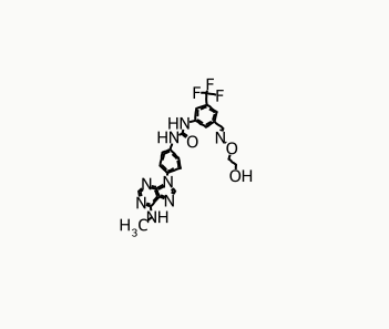 CNc1ncnc2c1ncn2-c1ccc(NC(=O)Nc2cc(C=NOCCO)cc(C(F)(F)F)c2)cc1